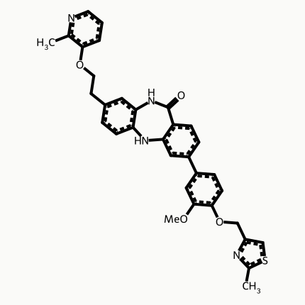 COc1cc(-c2ccc3c(c2)Nc2ccc(CCOc4cccnc4C)cc2NC3=O)ccc1OCc1csc(C)n1